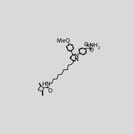 C=C1CC(=C)C1C(=O)NCCCCCCCCCc1cc(-c2ccc(OC)cc2)n(-c2ccc(S(N)(=O)=O)cc2)n1